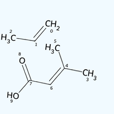 C=CC.CC(C)=CC(=O)O